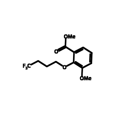 COC(=O)c1cccc(OC)c1OCCCC(F)(F)F